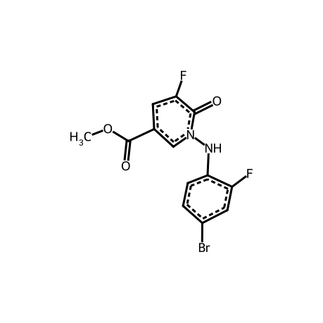 COC(=O)c1cc(F)c(=O)n(Nc2ccc(Br)cc2F)c1